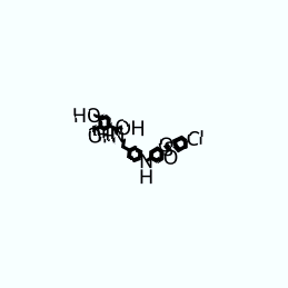 O=S(=O)(c1ccc(Cl)cc1)c1ccc(Nc2ccc(CCNC(O)c3ccc(O)c(CO)c3)cc2)cc1